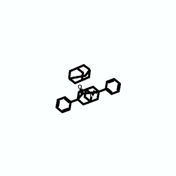 C1C2CC3CC1CC(C2)C3.[N-]=[N+]1C23CC4(c5ccccc5)CC1(CC(c1ccccc1)(C2)C4=O)C3